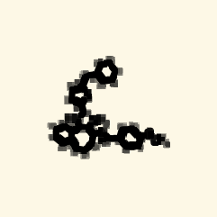 COc1ccc(CN/C2=C(N)/C(NCc3ccc(CC4=CCCCC4)s3)=c3/cccc/c3=C/CC2)cc1